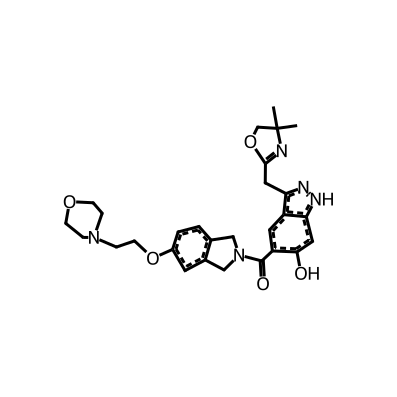 CC1(C)COC(Cc2n[nH]c3cc(O)c(C(=O)N4Cc5ccc(OCCN6CCOCC6)cc5C4)cc23)=N1